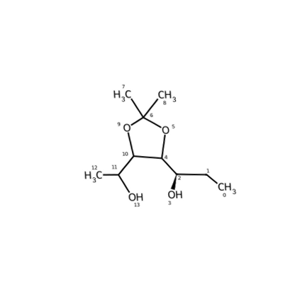 CC[C@@H](O)C1OC(C)(C)OC1C(C)O